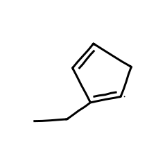 CCC1=[C]CC=C1